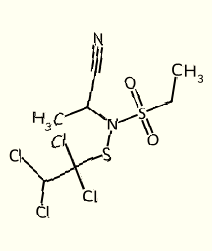 CCS(=O)(=O)N(SC(Cl)(Cl)C(Cl)Cl)C(C)C#N